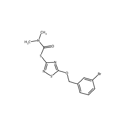 CN(C)C(=O)Sc1nsc(OCc2cccc(Br)c2)n1